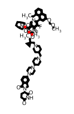 CCc1cccc2cc(OCOC)cc(-c3ncc4c(N5CC6CCC(C5)N6C(=O)OC(C)(C)C)nc(OCC5(CN6CCC(CN7CCC(N8CCN(c9ccc%10c(c9)CN([C@H]9CCC(=O)NC9=O)C%10=O)CC8)CC7)CC6)CC5)nc4c3F)c12